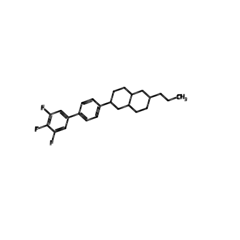 CCCC1CCC2CC(c3ccc(-c4cc(F)c(F)c(F)c4)cc3)CCC2C1